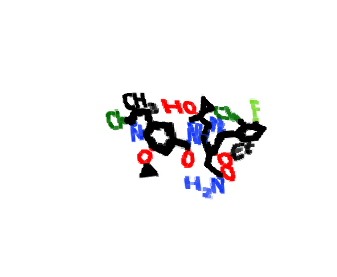 CCOc1c(CC(N)=O)cc([C@@](O)(CNC(=O)c2cc(OC3CC3)c3nc(Cl)c(C)cc3c2)C2CC2)nc1-c1cccc(F)c1Cl